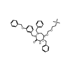 C[Si](C)(C)CCOCO[C@@H]1CN(Cc2ccccc2)N(Cc2cccc(OCc3ccccc3)c2)C(=O)N[C@@H]1Cc1ccccc1